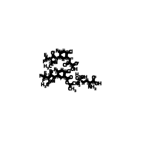 CC(C)OC(=O)c1cc(-c2nn(C)c(C(F)(F)F)c2Br)c(F)cc1Cl.CP(=O)(O)CCC(N)C(=O)O.Cc1nn(-c2cc(CC(Cl)C(=O)O)c(Cl)cc2F)c(=O)n1C(F)F